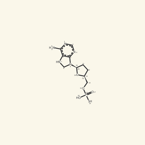 Nc1ncnc2c1NCN2[C@H]1CC[C@@H](COP(=O)(O)S)O1